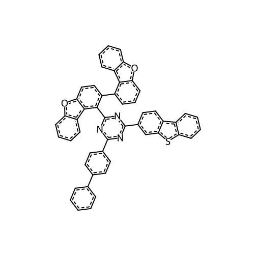 c1ccc(-c2ccc(-c3nc(-c4ccc5c(c4)sc4ccccc45)nc(-c4c(-c5cccc6oc7ccccc7c56)ccc5oc6ccccc6c45)n3)cc2)cc1